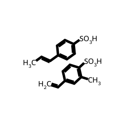 C=Cc1ccc(S(=O)(=O)O)c(C)c1.CC=Cc1ccc(S(=O)(=O)O)cc1